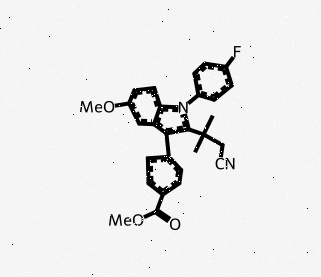 COC(=O)c1ccc(-c2c(C(C)(C)CC#N)n(-c3ccc(F)cc3)c3ccc(OC)cc23)cc1